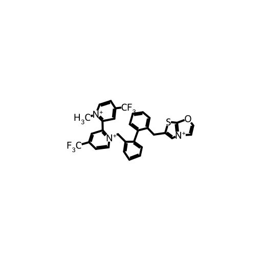 C[n+]1ccc(C(F)(F)F)cc1-c1cc(C(F)(F)F)cc[n+]1Cc1ccccc1-c1ccccc1Cc1c[n+]2ccoc2s1